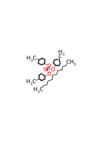 CCCCCCCCCCCC.Cc1ccc(OP(=O)(Oc2ccc(C)cc2)Oc2ccc(C)cc2)cc1